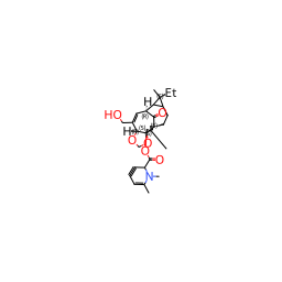 CC[C@@]1(C)C2CC[C@]34C=C(C)[C@H](OC(=O)C5C#CC=C(C)N5C)[C@]35OCO[C@@H]5C(CO)=C[C@H](C4=O)C21